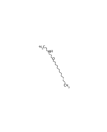 [CH2]CCNCCCOCCCCCCCCCCCCC